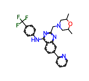 CC1CN(Cc2nc(Nc3ccc(C(F)(F)F)cc3)c3ccc(-c4ccccn4)cc3n2)CC(C)O1